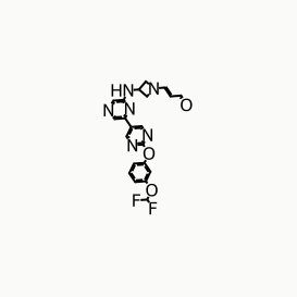 O=CC=CN1CC(Nc2cncc(-c3cnc(Oc4cccc(OC(F)F)c4)nc3)n2)C1